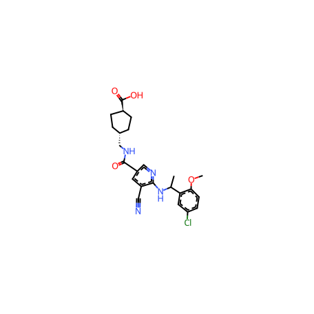 COc1ccc(Cl)cc1C(C)Nc1ncc(C(=O)NC[C@H]2CC[C@H](C(=O)O)CC2)cc1C#N